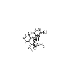 CCC(c1ccccc1Nc1nc(Cl)ncc1Cl)S(N)(=O)=O